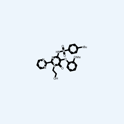 CCCCc1ccc(S(=O)(=O)Nc2nc(-c3ncccn3)n(CCO)c(=O)c2Oc2ccccc2OC)cc1